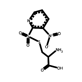 NC(CSS(=O)(=O)c1ncccc1[N+](=O)[O-])C(=O)O